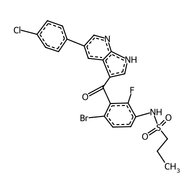 CCCS(=O)(=O)Nc1ccc(Br)c(C(=O)c2c[nH]c3ncc(-c4ccc(Cl)cc4)cc23)c1F